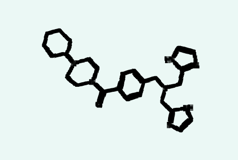 O=C(c1ccc(CN(Cc2ncc[nH]2)Cc2ncc[nH]2)cc1)N1CCN(C2CCCCC2)CC1